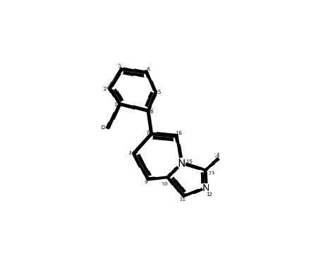 Cc1ccccc1-c1ccc2cnc(C)n2c1